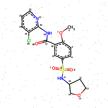 COc1ccc(S(=O)(=O)NC2CCOC2)cc1C(=O)Nc1ncccc1Cl